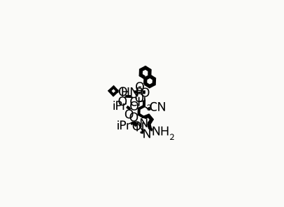 CC(C)C(=O)O[C@H]([C@H](CC#N)COP(=O)(N[C@@H](C)C(=O)OC1CCC1)Oc1cccc2ccccc12)[C@@H](OC(=O)C(C)C)c1ccc2c(N)ncnn12